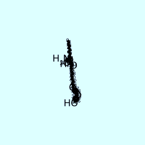 CCCCCCCCCCN(CNC(=O)CCCCCCCCCCOc1ccc(Oc2ccc(O)cc2)cc1)C(N)=O